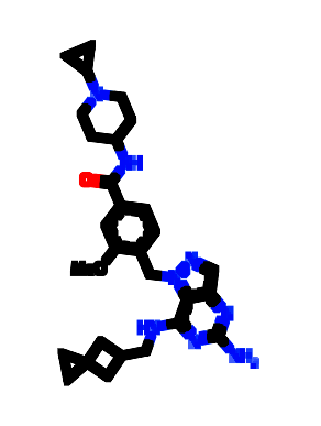 COc1cc(C(=O)NC2CCN(C3CC3)CC2)ccc1Cn1ncc2nc(N)nc(NCC3CC4(CC4)C3)c21